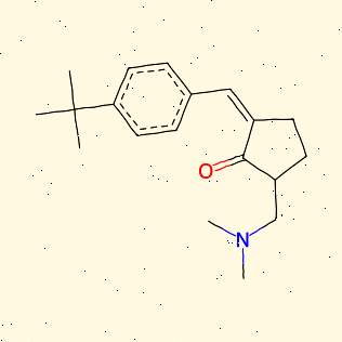 CN(C)CC1CCC(=Cc2ccc(C(C)(C)C)cc2)C1=O